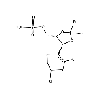 CCC1(CC)O[C@@H](COS(N)(=O)=O)[C@H](c2ccc(Cl)cc2Cl)O1